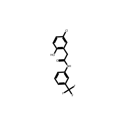 O=C(Cc1cc(Cl)ccc1O)Nc1cccc(C(F)(F)F)c1